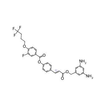 Nc1cc(N)cc(COC(=O)/C=C/c2ccc(OC(=O)c3ccc(OCCCC(F)(F)F)c(F)c3)cc2)c1